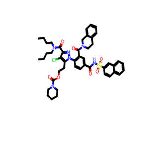 CCCCN(CCCC)C(=O)c1nn(-c2ccc(C(=O)NS(=O)(=O)c3ccc4ccccc4c3)cc2C(=O)N2CCc3ccccc3C2)c(CCOC(=O)N2CCCCC2)c1Cl